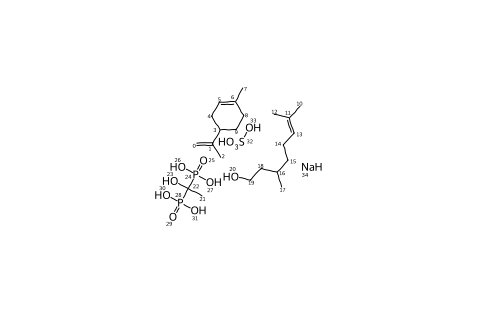 C=C(C)C1CC=C(C)CC1.CC(C)=CCCC(C)CCO.CC(O)(P(=O)(O)O)P(=O)(O)O.O=S(=O)(O)O.[NaH]